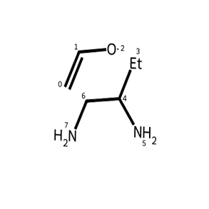 C=C[O].CCC(N)CN